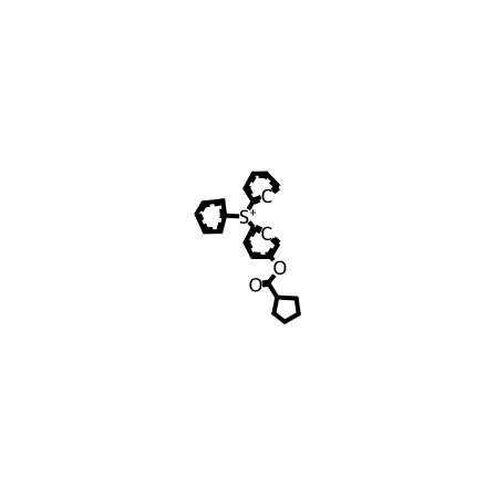 O=C(Oc1ccc([S+](c2ccccc2)c2ccccc2)cc1)C1CCCC1